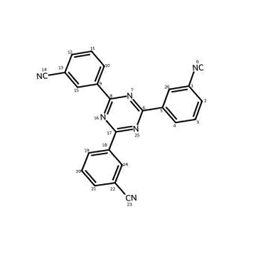 [C-]#[N+]c1cccc(-c2nc(-c3cccc(C#N)c3)nc(-c3cccc(C#N)c3)n2)c1